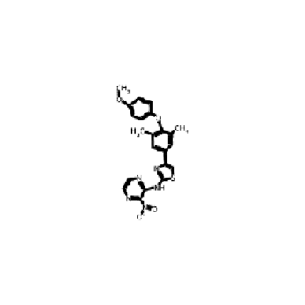 COc1ccc(Oc2c(C)cc(-c3csc(Nc4nccnc4[N+](=O)[O-])n3)cc2C)cc1